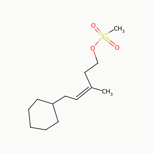 C/C(=C/CC1CCCCC1)CCOS(C)(=O)=O